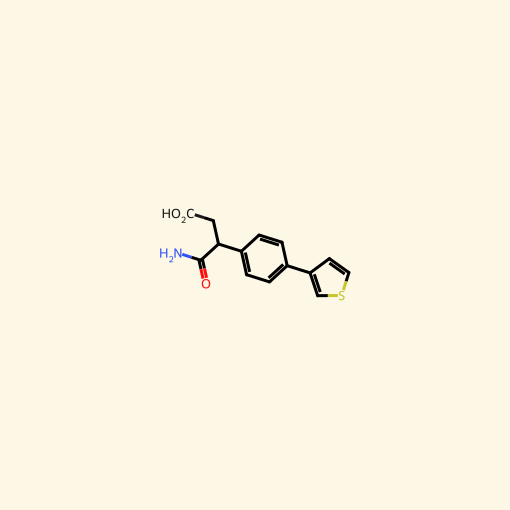 NC(=O)C(CC(=O)O)c1ccc(-c2ccsc2)cc1